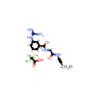 CCOC(=O)C#CNC(=O)CNC(=O)c1cccc(NC(=N)N)c1.O=C(O)C(F)(F)F